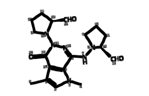 Cc1cn(C)c2c(NN3CCC[C@H]3C=O)nn(N3CCC[C@H]3C=O)c(=O)c12